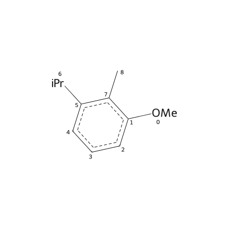 COc1cccc(C(C)C)c1C